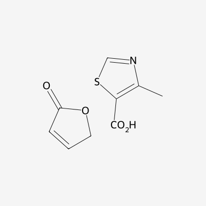 Cc1ncsc1C(=O)O.O=C1C=CCO1